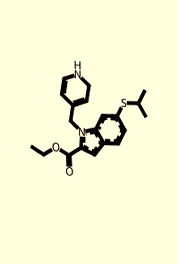 CCOC(=O)c1cc2ccc(SC(C)C)cc2n1CC1=CCNC=C1